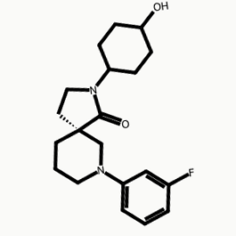 O=C1N(C2CCC(O)CC2)CC[C@]12CCCN(c1cccc(F)c1)C2